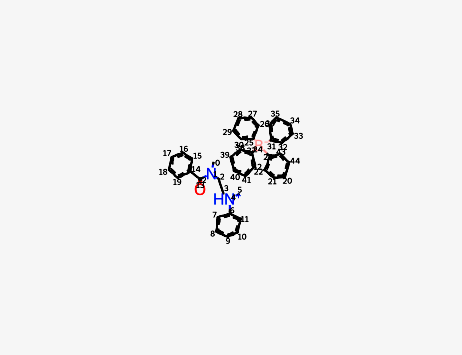 CN(CC[NH+](C)c1ccccc1)C(=O)c1ccccc1.c1ccc([B-](c2ccccc2)(c2ccccc2)c2ccccc2)cc1